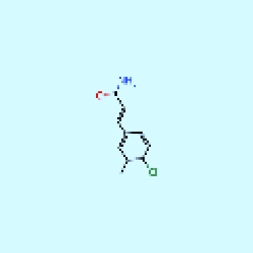 Cc1cc(C=CC(N)=O)ccc1Cl